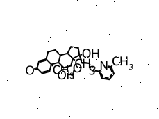 Cc1cccc(SCC(=O)[C@@]2(O)CCC3C4CCC5=CC(=O)C=CC5(C)C4[C@@H](O)CC32C)n1